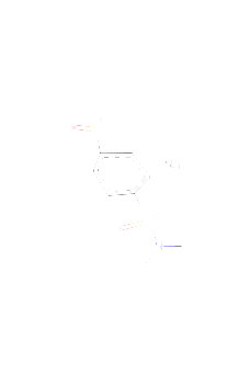 CN(C)S(=O)(=O)c1ccc(S(=O)[O-])cc1.[Na+]